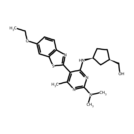 CCOc1ccc2nc(-c3c(C)nc(N(C)C)nc3N[C@H]3CC[C@@H](CO)C3)sc2c1